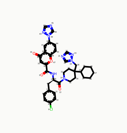 O=C(N[C@H](Cc1ccc(Cl)cc1)C(=O)N1CCC(Cn2cncn2)(C2CCCCC2)CC1)c1cc(=O)c2cc(-n3cncn3)ccc2o1